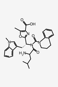 Cc1oc([C@@H](Cc2cn(C)c3ccccc23)N(C(=O)C(N)CC(C)C)C(=O)N2CCCc3ccccc32)nc1C(=O)O